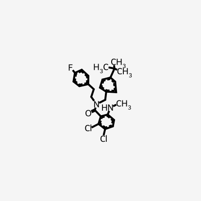 CNc1ccc(Cl)c(Cl)c1C(=O)N(CCc1ccc(F)cc1)Cc1ccc(C(C)(C)C)cc1